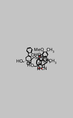 COc1c(C)cc2c(c1O)[C@@H]1C3[C@@H]4SC[C@]5(N[C@H](CO)Cc6c5oc5ccccc65)C(=O)OC[C@@H](c5c6c(c(C)c(OC(C)=O)c54)OCO6)N3C3(C#N)CN1C2(C)C3